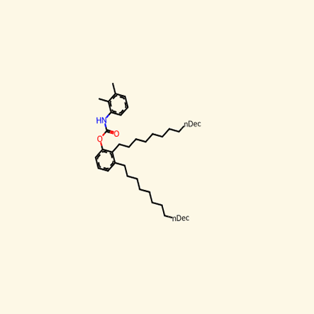 CCCCCCCCCCCCCCCCCCc1cccc(OC(=O)Nc2cccc(C)c2C)c1CCCCCCCCCCCCCCCCCC